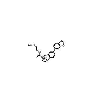 COCCNC(=S)N1CCC2c3ccc(-c4ccc5c(c4)OCO5)cc3C1[C@H]2C